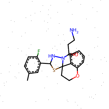 Cc1ccc(F)c(C2NN(C(=O)CCN)C3(CCOc4ccccc43)S2)c1